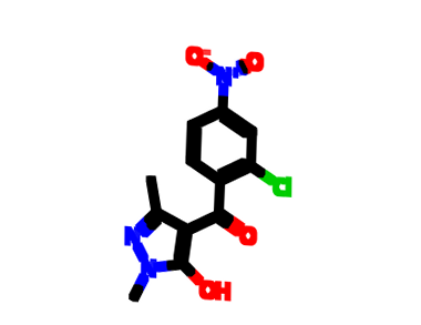 Cc1nn(C)c(O)c1C(=O)c1ccc([N+](=O)[O-])cc1Cl